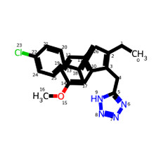 CCC1=C(Cc2nnn[nH]2)c2c3ccc(OC)c2C(c2ccc(Cl)cc2)=C13